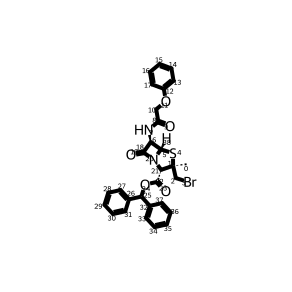 C[C@@]1(CBr)S[C@H]2[C@H](NC(=O)COc3ccccc3)C(=O)N2[C@H]1C(=O)OC(c1ccccc1)c1ccccc1